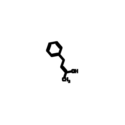 CC(O)=CCc1ccccc1